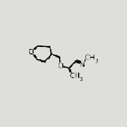 CN=CC(C)OCC1CCOCC1